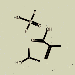 C=C(C)C(=O)O.CC(C)O.O=P(O)(F)F